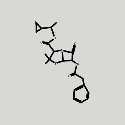 CC(OC(=O)C1N2C(=O)C(NC(=O)Cc3ccccc3)C2SC1(C)C)C1CC1